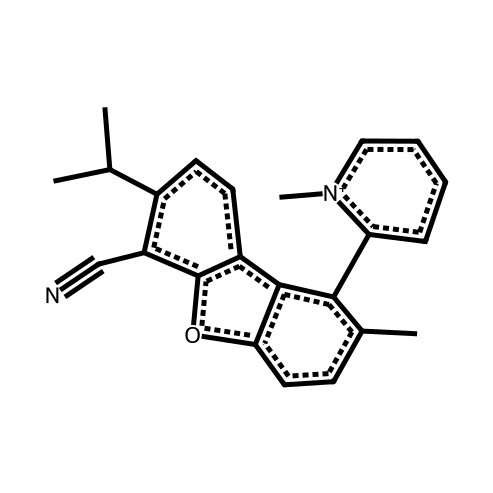 Cc1ccc2oc3c(C#N)c(C(C)C)ccc3c2c1-c1cccc[n+]1C